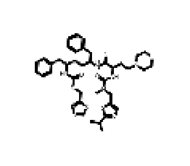 CC(C)c1ncc(CN(C)C(=O)NC(CCN2CCOCC2)C(=O)NC(CCC(Cc2ccccc2)NC(=O)OCc2cncs2)Cc2ccccc2)s1